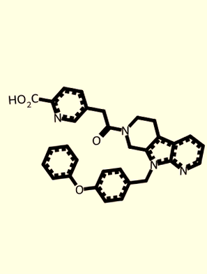 O=C(O)c1ccc(CC(=O)N2CCc3c(n(Cc4ccc(Oc5ccccc5)cc4)c4ncccc34)C2)cn1